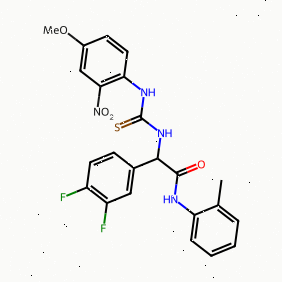 COc1ccc(NC(=S)NC(C(=O)Nc2ccccc2C)c2ccc(F)c(F)c2)c([N+](=O)[O-])c1